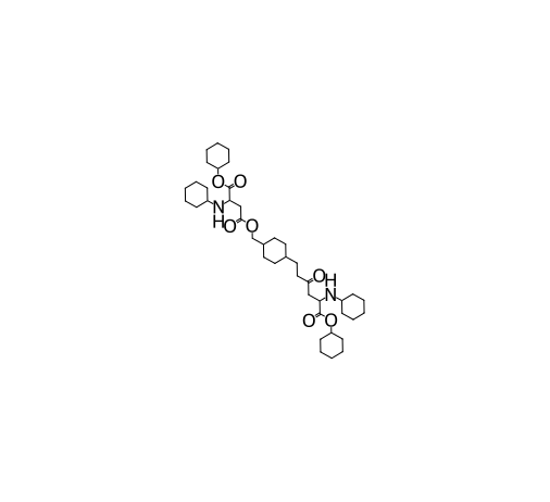 O=C(CCC1CCC(COC(=O)CC(NC2CCCCC2)C(=O)OC2CCCCC2)CC1)CC(NC1CCCCC1)C(=O)OC1CCCCC1